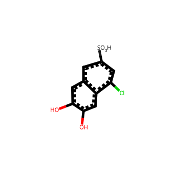 O=S(=O)(O)c1cc(Cl)c2cc(O)c(O)cc2c1